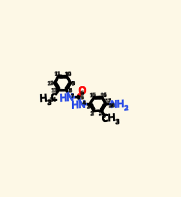 Cc1cc(NC(=O)Nc2ccccc2C)ccc1N